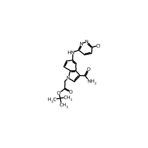 CC(C)(C)OC(=O)Cn1cc(C(N)=O)c2cc(Nc3ccc(Cl)nn3)ccc21